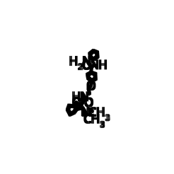 CCN(CC)c1c(C(=O)NCCOc2ccc(C(=O)Nc3ccccc3N)cc2)oc2ccccc12